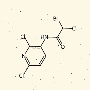 O=C(Nc1ccc(Cl)nc1Cl)C(Cl)Br